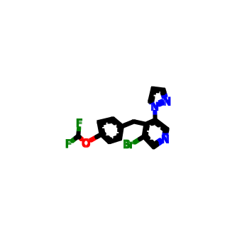 FC(F)Oc1ccc(Cc2c(Br)cncc2-n2cccn2)cc1